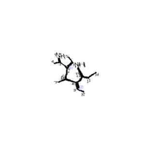 C/C=C(\C(C)=N)C(C)/C(=C/C)C(=N)CC